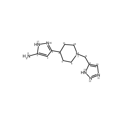 Nc1cc(C2CCN(Cc3cnn[nH]3)CC2)n[nH]1